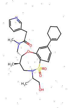 C[C@@H]1CN([C@@H](C)CO)S(=O)(=O)c2ccc(C3=CCCCC3)cc2O[C@H]1CN(C)C(=O)Cc1cccnc1